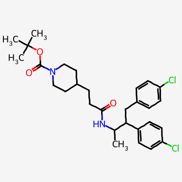 CC(NC(=O)CCC1CCN(C(=O)OC(C)(C)C)CC1)C(Cc1ccc(Cl)cc1)c1ccc(Cl)cc1